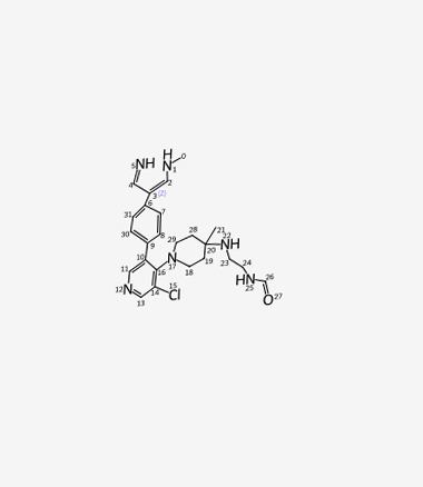 CN/C=C(\C=N)c1ccc(-c2cncc(Cl)c2N2CCC(C)(NCCNC=O)CC2)cc1